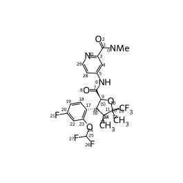 CNC(=O)c1cc(NC(=O)[C@H]2O[C@@](C)(C(F)(F)F)[C@@H](C)[C@@H]2c2ccc(F)cc2OC(F)F)ccn1